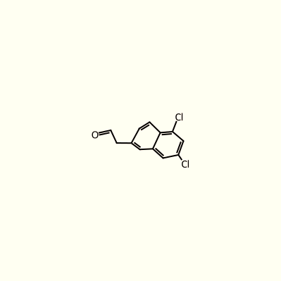 O=CCc1ccc2c(Cl)cc(Cl)cc2c1